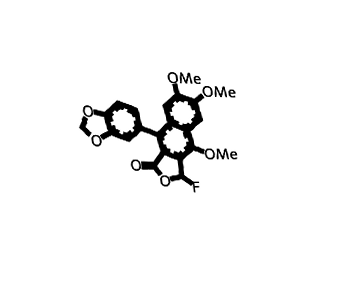 COc1cc2c(OC)c3c(c(-c4ccc5c(c4)OCO5)c2cc1OC)C(=O)OC3F